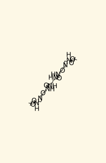 CC(C)(C)OC(=O)N[C@@H]1CCN(CCOCCNC(=O)NCCCCNC(=O)NCCOCCN2CC[C@@H](NC(=O)OC(C)(C)C)C2)C1